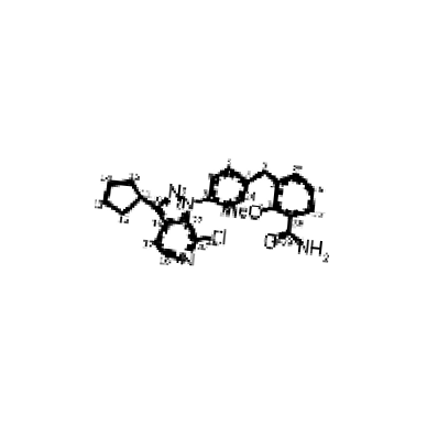 COc1c(Cc2ccc(-n3nc(C4CCCC4)c4ccnc(Cl)c43)cc2)cccc1C(N)=O